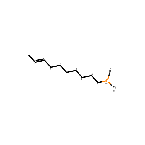 CC=CCCCCCCCP(CC)CC